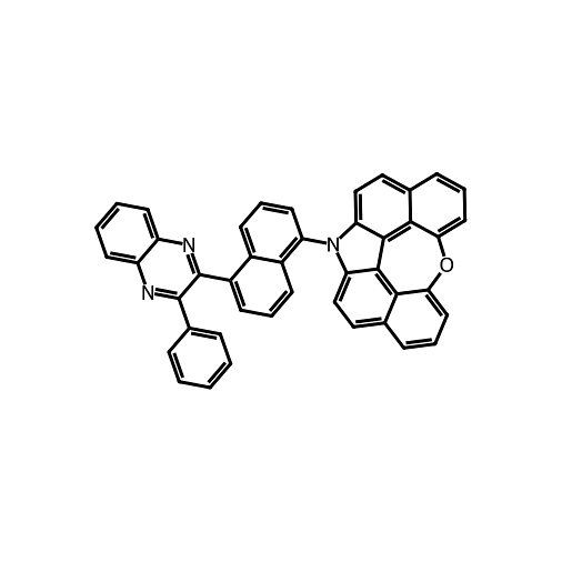 c1ccc(-c2nc3ccccc3nc2-c2cccc3c(-n4c5ccc6cccc7oc8cccc9ccc4c(c98)c5c67)cccc23)cc1